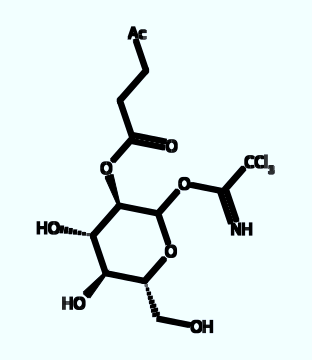 CC(=O)CCC(=O)O[C@H]1C(OC(=N)C(Cl)(Cl)Cl)O[C@H](CO)[C@@H](O)[C@@H]1O